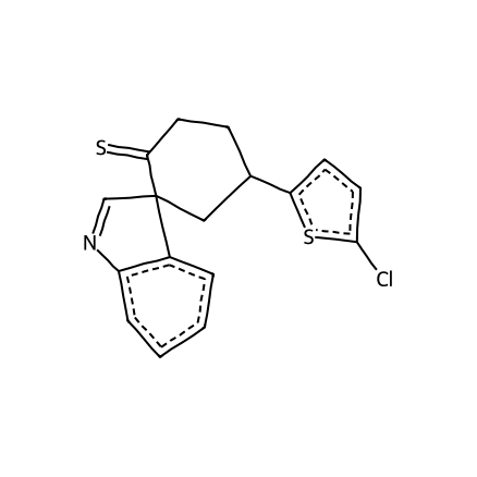 S=C1CCC(c2ccc(Cl)s2)CC12C=Nc1ccccc12